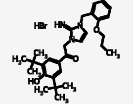 Br.CCCOc1ccccc1Cn1ccn(CC(=O)c2cc(C(C)(C)C)c(O)c(C(C)(C)C)c2)c1=N